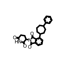 O=C1CCC(N2C(=O)c3cccc(C4CCCC(c5ccccc5)CC4)c3C2=O)C(=O)N1